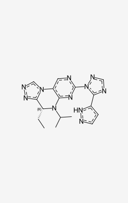 CC[C@@H]1c2nncn2-c2cnc(-n3ncnc3-c3ccn[nH]3)nc2N1C(C)C